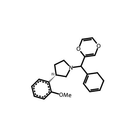 COc1ccccc1[C@@H]1CCN(C(C2=CC=CCC2)C2=COC=CO2)C1